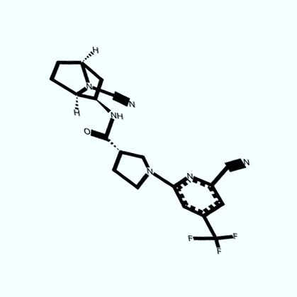 N#Cc1cc(C(F)(F)F)cc(N2CC[C@H](C(=O)N[C@@H]3C[C@@H]4CC[C@H]3N4C#N)C2)n1